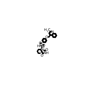 Cc1cc(COc2ccc(S(=O)(=O)NC[C@@H]3CCCC[C@@]34NC(=O)NC4=O)cc2)c2ccccc2n1